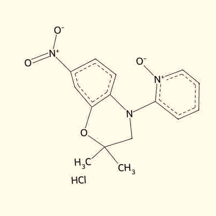 CC1(C)CN(c2cccc[n+]2[O-])c2ccc([N+](=O)[O-])cc2O1.Cl